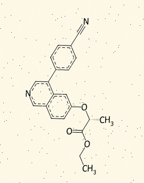 CCOC(=O)[C@@H](C)Oc1ccc2cncc(-c3ccc(C#N)cc3)c2c1